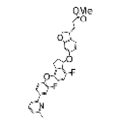 COC(=O)CC[C@@H]1COc2cc(O[C@@H]3CCc4c(Oc5ccc(-c6cccc(C)n6)cc5F)ccc(F)c43)ccc21